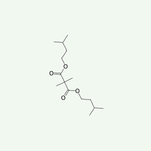 CC(C)CCOC(=O)C(C)(C)C(=O)OCCC(C)C